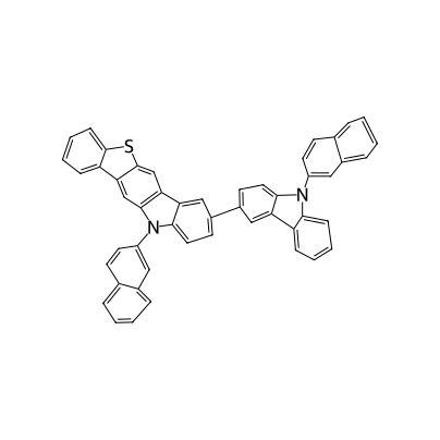 c1ccc2cc(-n3c4ccccc4c4cc(-c5ccc6c(c5)c5cc7sc8ccccc8c7cc5n6-c5ccc6ccccc6c5)ccc43)ccc2c1